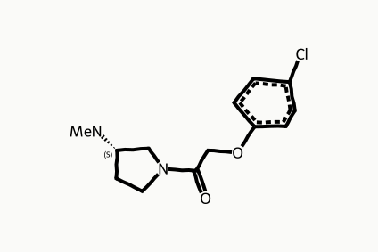 CN[C@H]1CCN(C(=O)COc2ccc(Cl)cc2)C1